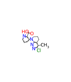 Cc1c(Cl)nnc2c1CCCN2c1cccnc1C(=O)O